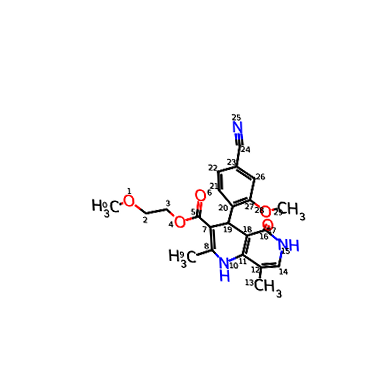 COCCOC(=O)C1=C(C)Nc2c(C)c[nH]c(=O)c2C1c1ccc(C#N)cc1OC